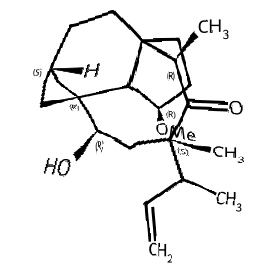 C=CC(C)[C@]1(C)C[C@@H](O)[C@]23C[C@@H]2CCC2(CC[C@@H](OC)C23)[C@@H](C)C1=O